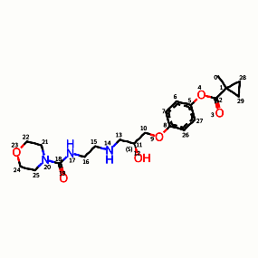 CC1(C(=O)Oc2ccc(OC[C@@H](O)CNCCNC(=O)N3CCOCC3)cc2)CC1